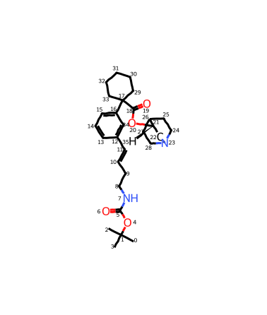 CC(C)(C)OC(=O)NCC/C=C/c1cccc(C2(C(=O)O[C@H]3CN4CCC3CC4)CCCCC2)c1